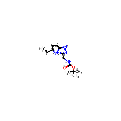 C=Cc1ccc2nnc(CNC(=O)OC(C)(C)C)n2n1